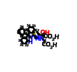 O=C(O)CNC(O)(C(=O)O)c1csc(NC(c2ccccc2)(c2ccccc2)c2ccccc2)n1